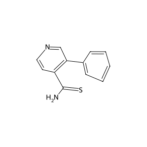 NC(=S)c1ccncc1-c1ccccc1